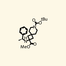 COC(=O)C1(N[C@@H](C)c2ccccc2)CC2(CCN(C(=O)OC(C)(C)C)CC2)C1